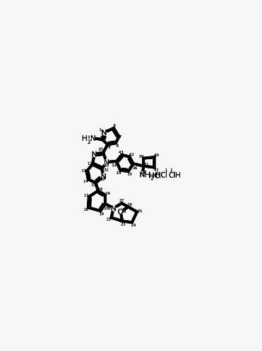 Cl.Cl.Cl.Nc1ncccc1-c1nc2ccc(-c3cccc(N4CC5CCC(C4)O5)c3)nc2n1-c1ccc(C2(N)CCC2)cc1